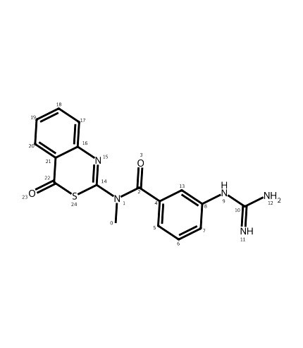 CN(C(=O)c1cccc(NC(=N)N)c1)c1nc2ccccc2c(=O)s1